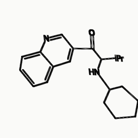 CC(C)C(NC1CCCCC1)C(=O)c1cnc2ccccc2c1